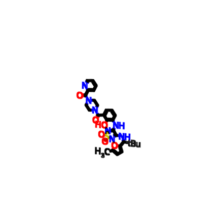 Cc1ccc(C(NC2=NS(=O)(=O)N=C2Nc2cccc(C(=O)N3CCN(C(=O)c4ccccn4)CC3)c2O)C(C)(C)C)o1